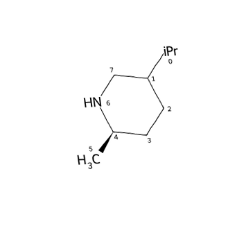 CC(C)C1CC[C@@H](C)NC1